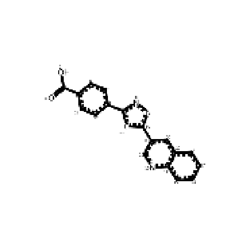 O=C(O)c1ccc(-c2nnc(-c3cnc4ccccc4c3)o2)cc1